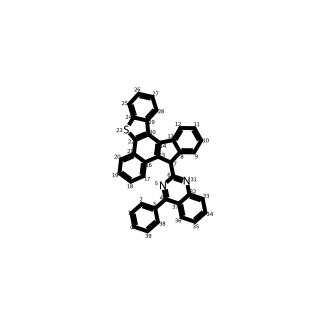 c1ccc(-c2nc(C3c4ccccc4-c4c3c3ccccc3c3sc5ccccc5c43)nc3ccccc23)cc1